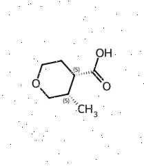 C[C@@H]1COCC[C@@H]1C(=O)O